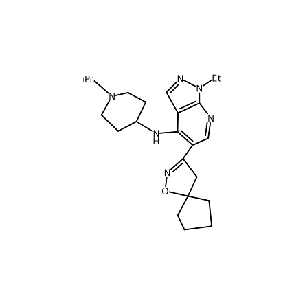 CCn1ncc2c(NC3CCN(C(C)C)CC3)c(C3=NOC4(CCCC4)C3)cnc21